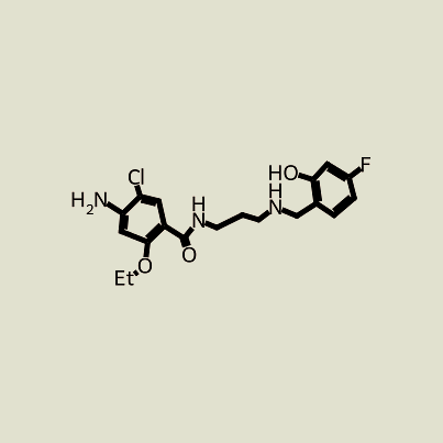 CCOc1cc(N)c(Cl)cc1C(=O)NCCCNCc1ccc(F)cc1O